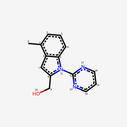 Cc1cccc2c1cc(CO)n2-c1ncccn1